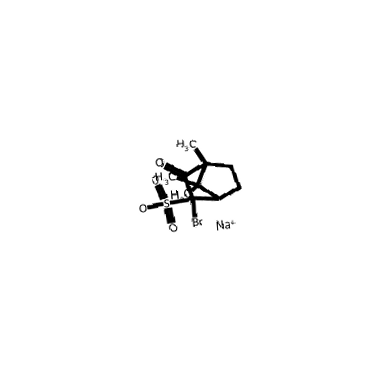 CC12CCC(C1(C)C)C(Br)(S(=O)(=O)[O-])C2=O.[Na+]